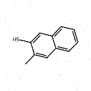 Cc1[c]c2ccccc2cc1S